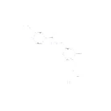 CC(=O)Nc1cc(C(=O)NCc2ccc(OC[C@@H](C)F)c(C)c2)ccn1